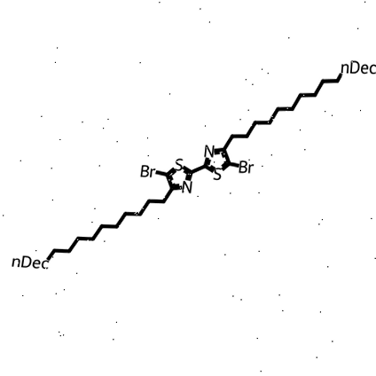 CCCCCCCCCCCCCCCCCCCCc1nc(-c2nc(CCCCCCCCCCCCCCCCCCCC)c(Br)s2)sc1Br